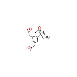 C=C(C=O)c1cc(CC2CO2)cc(CC2CO2)c1CC1CO1